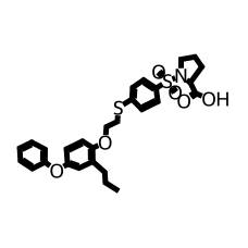 CCCc1cc(Oc2ccccc2)ccc1OCCSc1ccc(S(=O)(=O)N2CCCC2C(=O)O)cc1